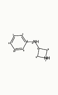 c1ccc(NC2CNC2)cc1